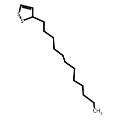 CCCCCCCCCCCCC1C=CSS1